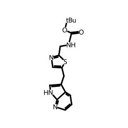 CC(C)(C)OC(=O)NCc1ncc(Cc2c[nH]c3ncccc23)s1